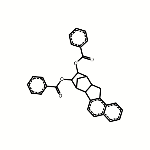 O=C(OC1C2CC(C1OC(=O)c1ccccc1)C1c3ccc4ccccc4c3CC21)c1ccccc1